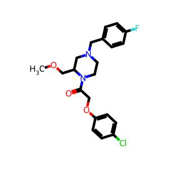 COCC1CN(Cc2ccc(F)cc2)CCN1C(=O)COc1ccc(Cl)cc1